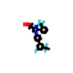 CC(F)(F)C1=CC(F)=CC(c2ccc(-n3cc(C(C)(C)O)nc3-c3ccccc3C(F)(F)F)cc2)C1